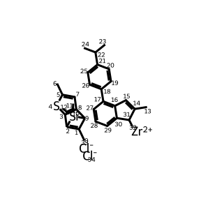 CC1=C2c3sc(C)cc3C1[Si]2(C)C.CC1=Cc2c(-c3ccc(C(C)C)cc3)cccc2[CH]1[Zr+2].[Cl-].[Cl-]